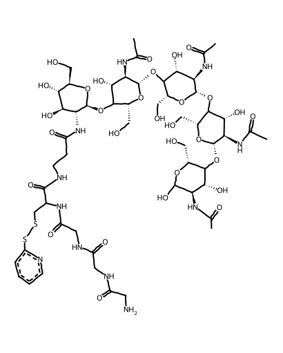 CC(=O)N[C@H]1[C@H](OC2[C@@H](CO)O[C@@H](OC3[C@@H](CO)O[C@@H](OC4[C@@H](CO)OC(O)[C@H](NC(C)=O)[C@H]4O)[C@H](NC(C)=O)[C@H]3O)[C@H](NC(C)=O)[C@H]2O)O[C@H](CO)C(O[C@@H]2O[C@H](CO)[C@@H](O)[C@H](O)[C@H]2NC(=O)CCNC(=O)C(CSSc2ccccn2)NC(=O)CNC(=O)CNC(=O)CN)[C@@H]1O